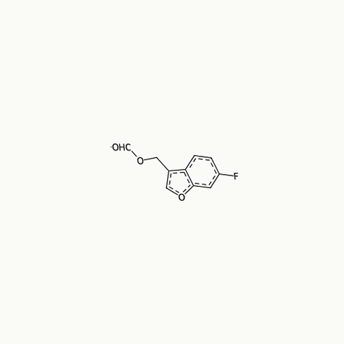 O=[C]OCc1coc2cc(F)ccc12